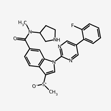 CN(C(=O)c1ccc2c([S+](C)[O-])cn(-c3ncc(-c4ccccc4F)cn3)c2c1)C1CCNC1